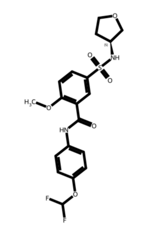 COc1ccc(S(=O)(=O)N[C@H]2CCOC2)cc1C(=O)Nc1ccc(OC(F)F)cc1